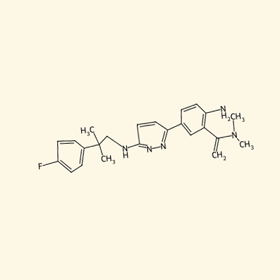 C=C(c1cc(-c2ccc(NCC(C)(C)c3ccc(F)cc3)nn2)ccc1N)N(C)C